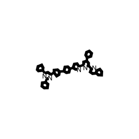 c1ccc(-c2cc(-c3ccc(-c4ccc(-c5ccc(-c6cc(-c7ccccc7)nc(-c7ccccc7)n6)cc5)cc4)cn3)nc(-c3ccc4ccccc4n3)c2)cc1